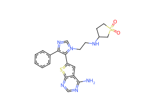 Nc1ncnc2sc(-c3c(-c4ccccc4)ncn3CCNC3CCS(=O)(=O)C3)cc12